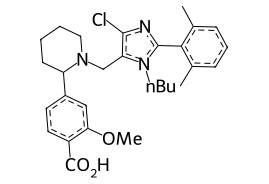 CCCCn1c(-c2c(C)cccc2C)nc(Cl)c1CN1CCCCC1c1ccc(C(=O)O)c(OC)c1